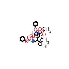 COC(=O)C(CCC(CC(NC(=O)Oc1ccccc1)C(=O)OC)C(C)C)NC(=O)Oc1ccccc1